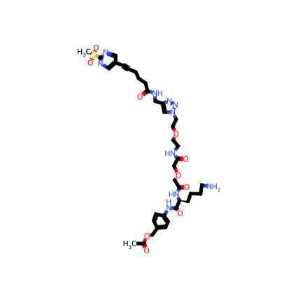 CC(=O)OCc1ccc(NC(=O)[C@H](CCCCN)NC(=O)COCC(=O)NCCOCCn2cc(CNC(=O)CCCC#Cc3cnc(S(C)(=O)=O)nc3)nn2)cc1